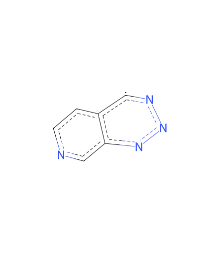 [c]1nnnc2cnccc12